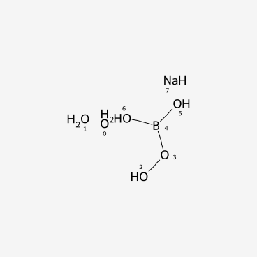 O.O.OOB(O)O.[NaH]